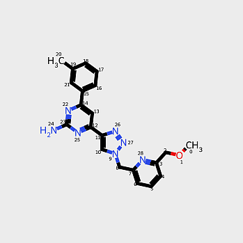 COCc1cccc(Cn2cc(-c3cc(-c4cccc(C)c4)nc(N)n3)nn2)n1